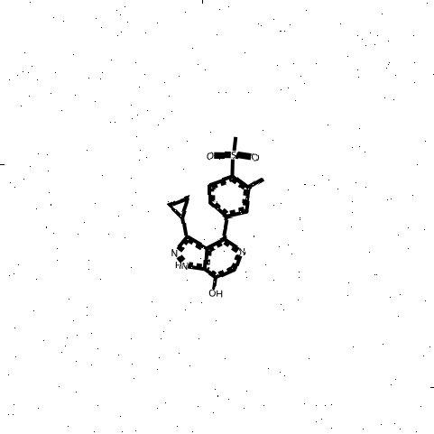 Cc1cc(-c2ncc(O)c3[nH]nc(C4CC4)c23)ccc1S(C)(=O)=O